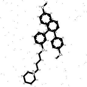 COc1ccc(-c2ccc3cc(OC)ccc3c2-c2cccc(OCCCCN3CCCCC3)c2)cc1